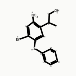 CCc1cc([N+](=O)[O-])c(C(C)CO)cc1Sc1ccccc1